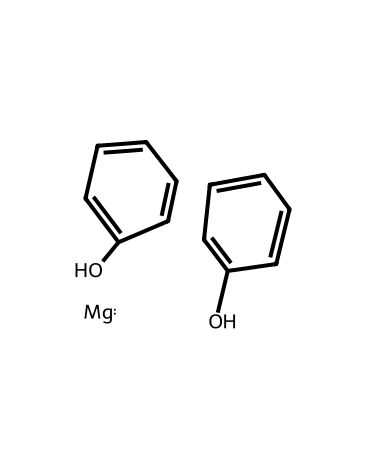 Oc1ccccc1.Oc1ccccc1.[Mg]